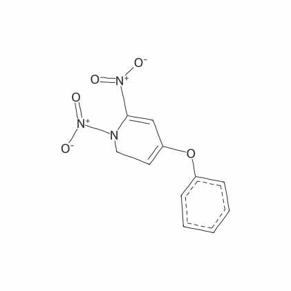 O=[N+]([O-])C1=CC(Oc2ccccc2)=CCN1[N+](=O)[O-]